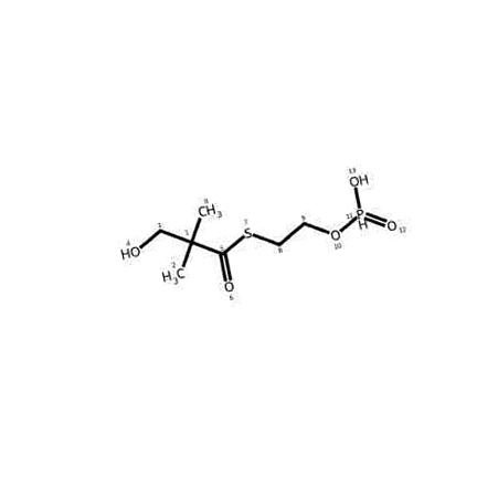 CC(C)(CO)C(=O)SCCO[PH](=O)O